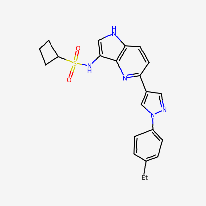 CCc1ccc(-n2cc(-c3ccc4[nH]cc(NS(=O)(=O)C5CCC5)c4n3)cn2)cc1